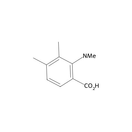 CNc1c(C(=O)O)ccc(C)c1C